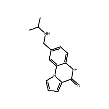 CC(C)NCc1ccc2[nH]c(=O)c3cccn3c2c1